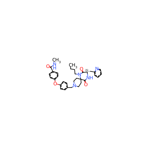 CCCCN1C(=O)[C@H](Cc2ccccn2)NC(=O)C12CCN(Cc1ccc(Oc3ccc(C(=O)NC)cc3)cc1)CC2